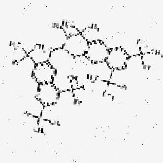 CC(C)C(C)(C)c1cc(C(C)(C)C(C)C)c2cc(OP(Oc3cc4c(C(C)(C)C(C)C)cc(C(C)(C)C(C)C)cc4cc3C(C)(C)C(C)C)OC(C)(C)C)c(C(C)(C)C(C)C)cc2c1